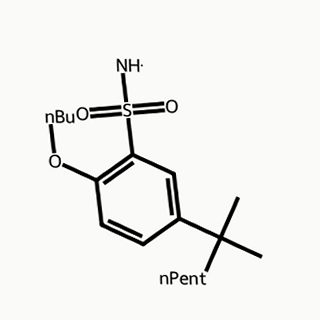 CCCCCC(C)(C)c1ccc(OCCCC)c(S([NH])(=O)=O)c1